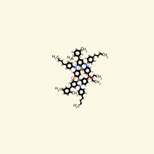 CCCCc1ccc(N2c3ccc(CCCC)cc3B3c4cc5c(cc4Oc4cc(-c6cc(C)ccc6C)cc2c43)N(c2ccc(CCCC)cc2)c2cc(-c3cc(C)ccc3C)cc3c2B5c2cc(CCCC)ccc2N3c2ccc(CCCC)cc2)cc1